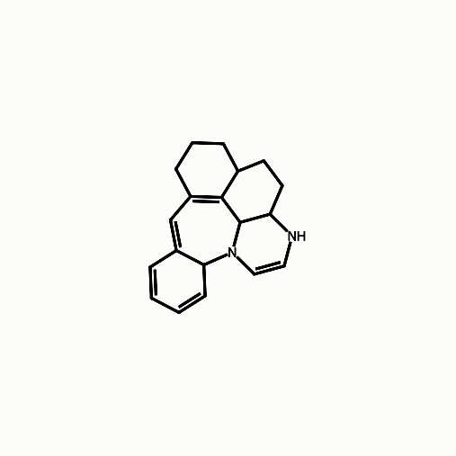 C1=CC2=CC3=C4C(CCC3)CCC3NC=CN(C2C=C1)C43